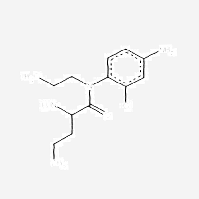 CCCC(N)C(=O)N(CCC)c1ccc(N)cc1Cl